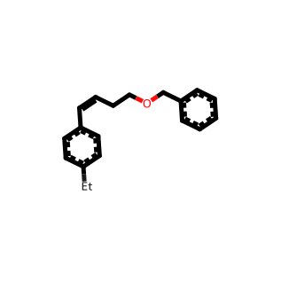 CCc1ccc(/C=C\CCOCc2ccccc2)cc1